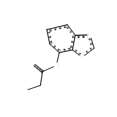 O=C(CCl)Nc1cccc2ocnc12